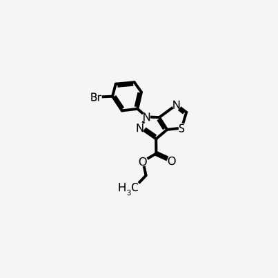 CCOC(=O)c1nn(-c2cccc(Br)c2)c2ncsc12